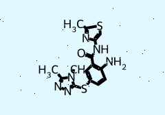 Cc1nc(NC(=O)c2cc(Sc3nnc(C)n3C)ccc2N)cs1